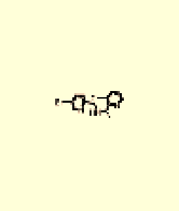 C[C@@H](NCc1ccc(Br)cn1)c1ncccc1Cl